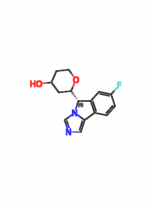 OC1CCOC([C@@H]2c3cc(F)ccc3-c3cncn32)C1